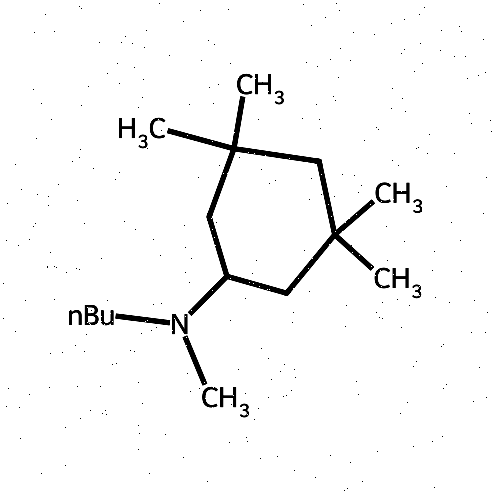 CCCCN(C)C1CC(C)(C)CC(C)(C)C1